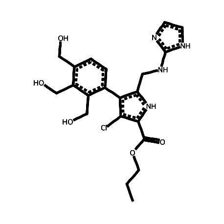 CCCOC(=O)c1[nH]c(CNc2ncc[nH]2)c(-c2ccc(CO)c(CO)c2CO)c1Cl